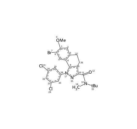 COc1cc2c(cc1Br)-c1c(c(C(=O)N(C)C(C)(C)C)nn1-c1cc(Cl)cc(Cl)c1)CC2